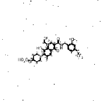 Cc1cc(OC(F)(F)F)ccc1CNC(=O)c1cn(CC(F)(F)F)c2c(O)c(N3CCC(OC(=O)O)CC3)c(F)cc2c1=O